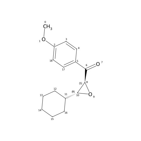 COc1ccc(C(=O)[C@H]2O[C@@H]2C2CCCCC2)cc1